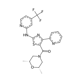 C[C@@H]1CN(C(=O)c2sc(Nc3cc(C(F)(F)F)ccn3)nc2-c2ccccn2)C[C@H](C)O1